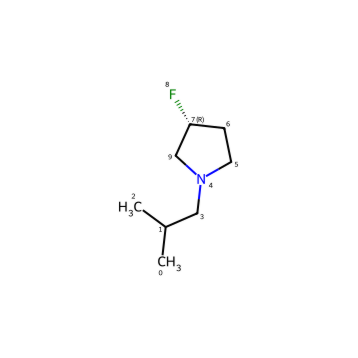 CC(C)CN1CC[C@@H](F)C1